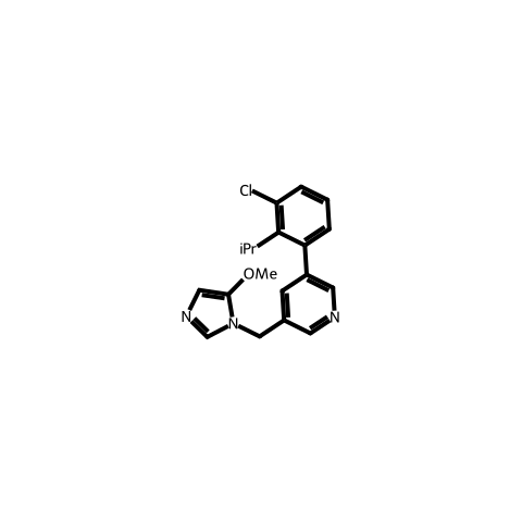 COc1cncn1Cc1cncc(-c2cccc(Cl)c2C(C)C)c1